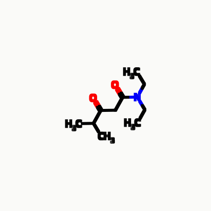 CCN(CC)C(=O)CC(=O)C(C)C